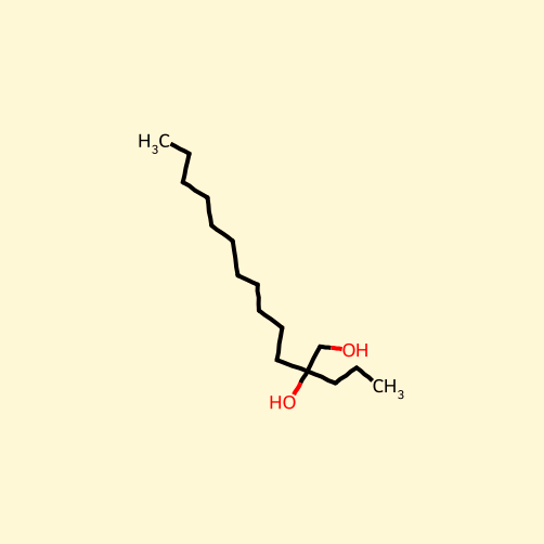 CCCCCCCCCCCC(O)(CO)CCC